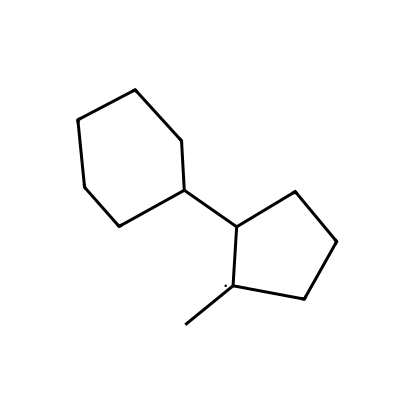 C[C]1CCCC1C1CCCCC1